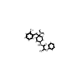 CCC(Oc1ccccc1)C(=O)NC1CCC(Cc2ccccc2F)(N(C)C)CC1